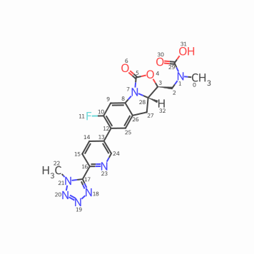 CN(C[C@@H]1OC(=O)N2c3cc(F)c(-c4ccc(-c5nnnn5C)nc4)cc3C[C@@H]12)C(=O)O